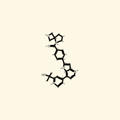 CC(C)(O)c1cc(-c2ccnc3cc(-c4ccc(C(=O)N5CCCC56COC6)cc4)oc23)ccn1